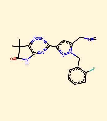 C=NCc1cc(-c2nnc3c(n2)NC(=O)C3(C)C)nn1Cc1ccccc1F